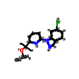 CC(C)(C)[SiH2]OC(C)(C)c1cccc(-n2ncc3ccc(Br)cc32)n1